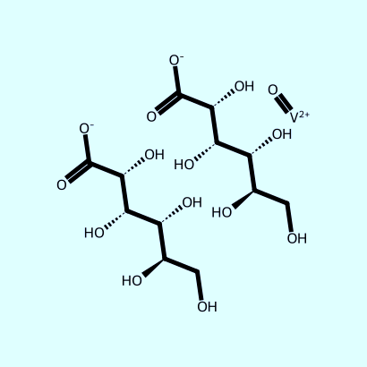 O=C([O-])[C@H](O)[C@@H](O)[C@H](O)[C@H](O)CO.O=C([O-])[C@H](O)[C@@H](O)[C@H](O)[C@H](O)CO.[O]=[V+2]